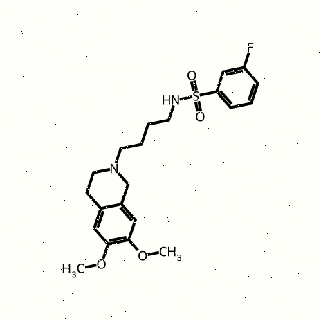 COc1cc2c(cc1OC)CN(CCCCNS(=O)(=O)c1cccc(F)c1)CC2